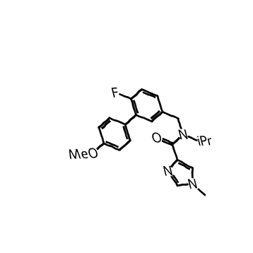 COc1ccc(-c2cc(CN(C(=O)c3cn(C)cn3)C(C)C)ccc2F)cc1